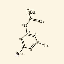 CCCCC(=O)Oc1cc(F)cc(Br)c1